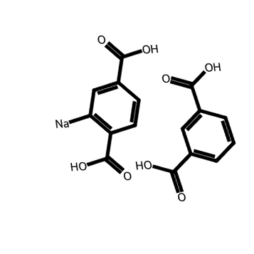 O=C(O)c1ccc(C(=O)O)[c]([Na])c1.O=C(O)c1cccc(C(=O)O)c1